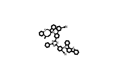 C=C1/C=C\c2c(c3ccccc3n2-c2cc(-c3nc(-c4ccccc4)nc(-c4ccc(C#N)c(-n5c6ccccc6c6c7sc8ccccc8c7ccc65)c4)n3)ccc2-c2cccc(C#N)c2)CSc2ccccc21